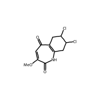 COc1cc(=O)c2c([nH]c1=O)CC(Cl)C(Cl)C2